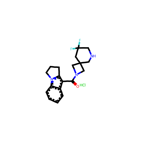 Cl.O=C(c1c2n(c3ccccc13)CCC2)N1CC2(CNCC(F)(F)C2)C1